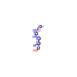 N#Cc1nc(-c2ccnc(Nc3ccc(NC(=O)CN4CCC(F)C4)nc3)n2)ccc1N1CCC(O)C1